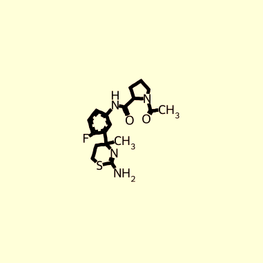 CC(=O)N1CCCC1C(=O)Nc1ccc(F)c(C2(C)CCSC(N)=N2)c1